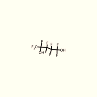 OC(F)(F)C(F)(F)C(F)(F)C(O)(F)C(F)(F)F